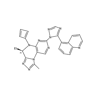 CC[C@@H]1c2nnc(C)n2-c2cnc(-n3ncnc3-c3cccc4ncccc34)nc2N1C1=CC=C1